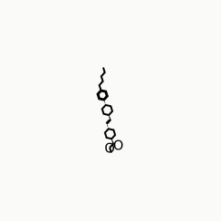 CCCCCc1ccc([C@H]2CC[C@H](C=C[C@H]3CC[C@H](C(=O)OC)CC3)CC2)cc1